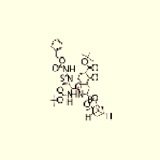 COc1c(CC(NC(=O)C(NC(=O)OC(C)(C)C)c2csc(NC(=O)OCc3ccccc3)n2)B2OC3C[C@H]4C[C@@H](C4(C)C)[C@]3(C)O2)cccc1C(=O)OC(C)(C)C